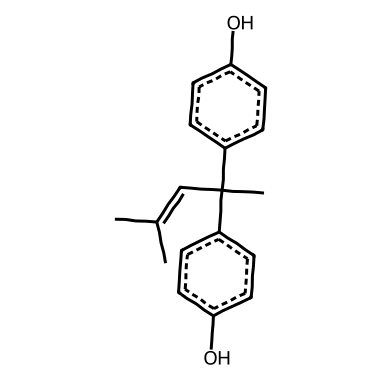 CC(C)=CC(C)(c1ccc(O)cc1)c1ccc(O)cc1